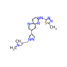 Cc1nnc(Nc2ccc3ncc(-c4cnn(CCCN(C)C)c4)cc3n2)s1